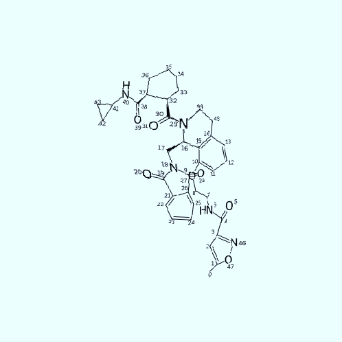 Cc1cc(C(=O)NCCOc2cccc3c2[C@@H](CN2C(=O)c4ccccc4C2=O)N(C(=O)[C@@H]2CCCC[C@@H]2C(=O)NC2CC2)CC3)no1